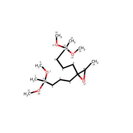 CO[Si](C)(CCCC1(CCC[Si](C)(OC)OC)OC1C)OC